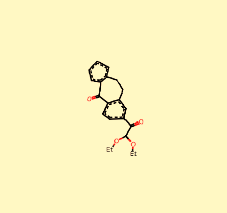 CCOC(OCC)C(=O)c1ccc2c(c1)CCc1ccccc1C2=O